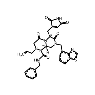 C=CCN1CC(=O)N2[C@@H](CC3=CC(=O)NC3=O)C(=O)N(Cc3cccc4scnc34)C[C@@H]2N1C(=O)NCc1ccccc1